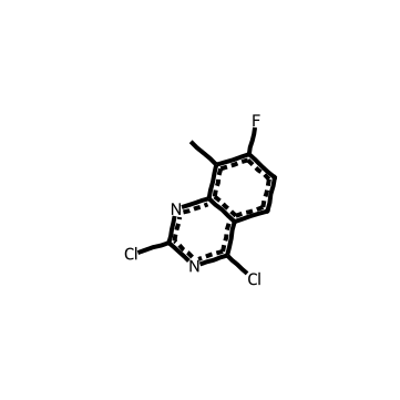 Cc1c(F)ccc2c(Cl)nc(Cl)nc12